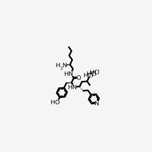 CCCC[C@H](N)CNC(=O)[C@H](Cc1ccc(O)cc1)N[C@@H](CCc1ccncc1)CC(C)C.Cl.Cl.Cl